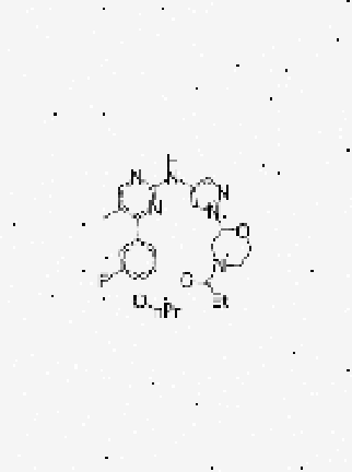 CCCOc1ccc(-c2nc(Nc3cnn(C4CN(C(=O)CC)CCO4)c3)ncc2C)cc1F